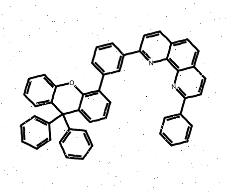 c1ccc(-c2ccc3ccc4ccc(-c5cccc(-c6cccc7c6Oc6ccccc6C7(c6ccccc6)c6ccccc6)c5)nc4c3n2)cc1